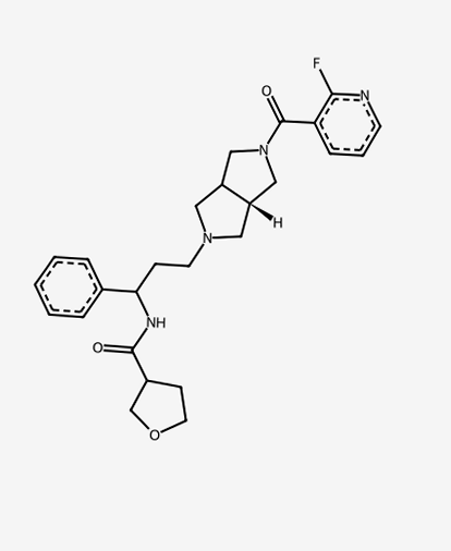 O=C(NC(CCN1CC2CN(C(=O)c3cccnc3F)C[C@@H]2C1)c1ccccc1)C1CCOC1